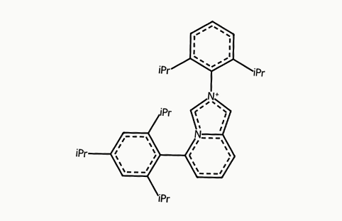 CC(C)c1cc(C(C)C)c(-c2cccc3c[n+](-c4c(C(C)C)cccc4C(C)C)cn23)c(C(C)C)c1